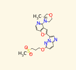 C[C@@H]1COCCN1c1nccc2oc(-c3cnc4ccc(OCCCS(C)(=O)=O)nn34)cc12